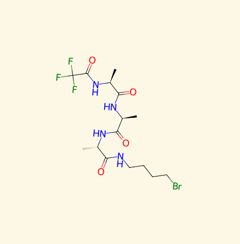 C[C@H](NC(=O)[C@H](C)NC(=O)[C@H](C)NC(=O)C(F)(F)F)C(=O)NCCCCBr